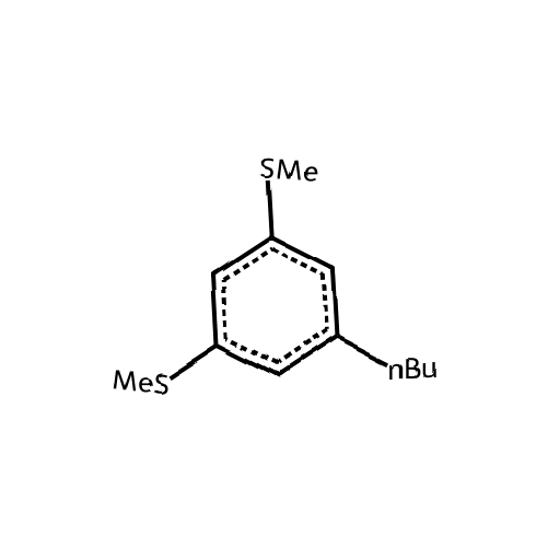 [CH2]CCCc1cc(SC)cc(SC)c1